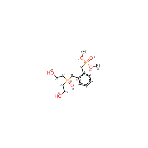 CCOP(=O)(Cc1ccccc1CP(=O)(CCO)CCO)OCC